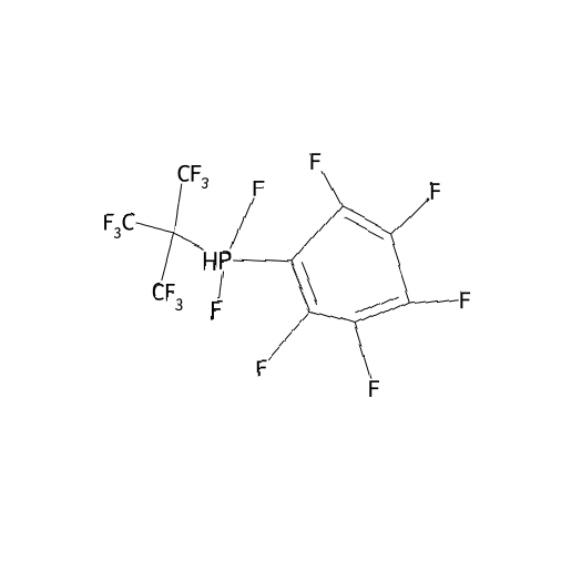 Fc1c(F)c(F)c([PH](F)(F)C(C(F)(F)F)(C(F)(F)F)C(F)(F)F)c(F)c1F